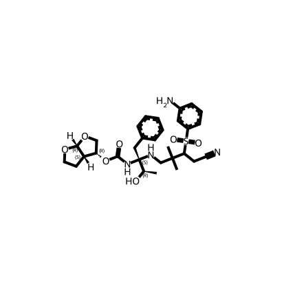 C[C@@H](O)[C@@](Cc1ccccc1)(NCC(C)(C)C(CC#N)S(=O)(=O)c1cccc(N)c1)NC(=O)O[C@H]1CO[C@H]2OCC[C@H]21